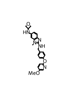 COc1ccc(Oc2ccc(CNc3nc4ccc(NC5COC5)cc4n3C)cc2)nc1